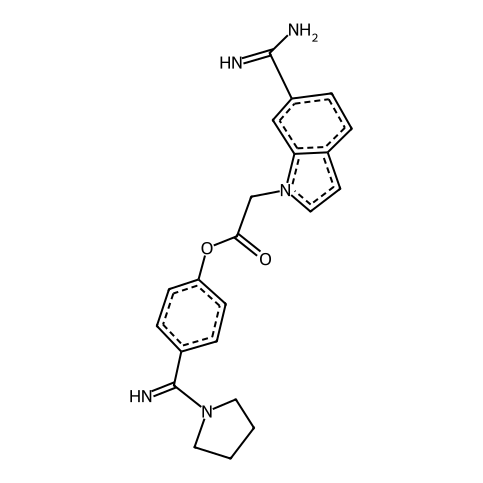 N=C(N)c1ccc2ccn(CC(=O)Oc3ccc(C(=N)N4CCCC4)cc3)c2c1